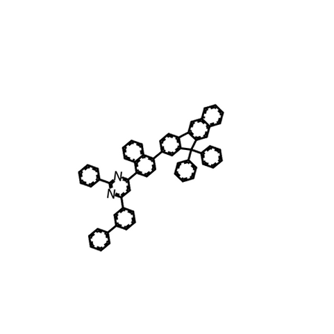 c1ccc(-c2cccc(-c3cc(-c4ccc(-c5ccc6c(c5)C(c5ccccc5)(c5ccccc5)c5cc7ccccc7cc5-6)c5ccccc45)nc(-c4ccccc4)n3)c2)cc1